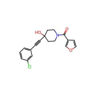 O=C(c1ccoc1)N1CCC(O)(C#Cc2cccc(Cl)c2)CC1